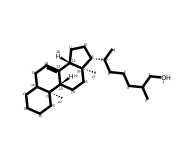 CC(CO)CCCC(C)[C@H]1CC[C@H]2C3=CCC4CCCC[C@]4(C)[C@H]3CC[C@]12C